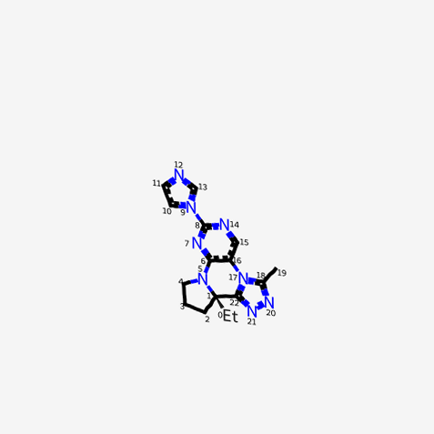 CC[C@@]12CCCN1c1nc(-n3ccnc3)ncc1-n1c(C)nnc12